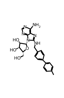 Cc1ccc(-c2ccc(CNc3nc4c(N)ncnc4n3[C@@H]3O[C@H](CO)[C@@H](O)[C@H]3O)cc2)cc1